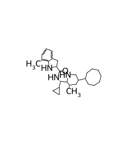 Cc1cccc2c1NC(C(=O)N[C@@H](C1CC1)C1NCC(C3CCCCCCC3)CC1C)C2